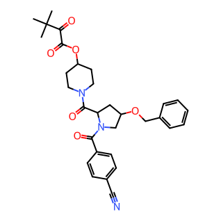 CC(C)(C)C(=O)C(=O)OC1CCN(C(=O)C2CC(OCc3ccccc3)CN2C(=O)c2ccc(C#N)cc2)CC1